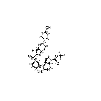 CC(C)(C)OC(=O)n1ccc2c(-c3cc(C(=O)c4nc5ccc(N6CCC(O)CC6)nc5[nH]4)ccc3N)cncc21